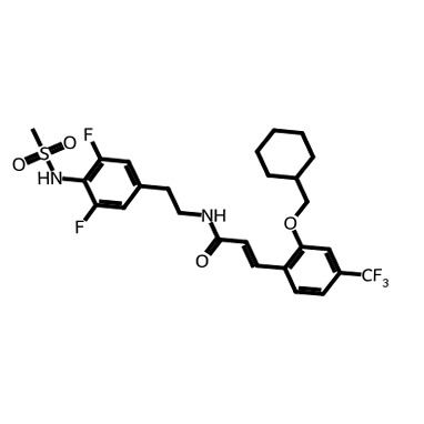 CS(=O)(=O)Nc1c(F)cc(CCNC(=O)C=Cc2ccc(C(F)(F)F)cc2OCC2CCCCC2)cc1F